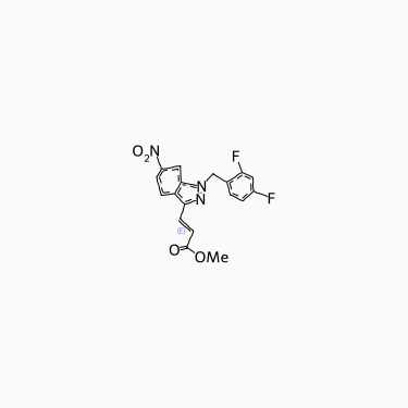 COC(=O)/C=C/c1nn(Cc2ccc(F)cc2F)c2cc([N+](=O)[O-])ccc12